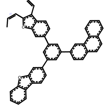 C=Cc1c(/C=C\C)oc2cc(-c3cc(-c4ccc5c(c4)oc4ccccc45)cc(-c4ccc5ccc6ccccc6c5c4)c3)ccc12